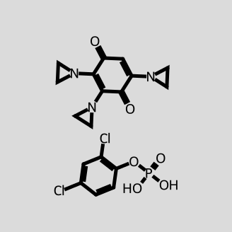 O=C1C=C(N2CC2)C(=O)C(N2CC2)=C1N1CC1.O=P(O)(O)Oc1ccc(Cl)cc1Cl